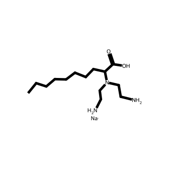 CCCCCCCCC(C(=O)O)N(CCN)CCN.[Na]